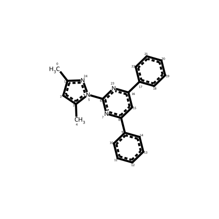 Cc1cc(C)n(-c2nc(-c3ccccc3)cc(-c3ccccc3)n2)n1